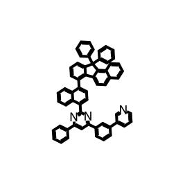 c1ccc(-c2cc(-c3cccc(-c4cccnc4)c3)nc(-c3ccc(-c4cccc5c4-c4ccc6ccccc6c4C5(c4ccccc4)c4ccccc4)c4ccccc34)n2)cc1